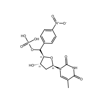 Cc1cn([C@H]2C[C@H](O)[C@@H](C(OP(=O)(O)O)c3ccc([N+](=O)[O-])cc3)O2)c(=O)[nH]c1=O